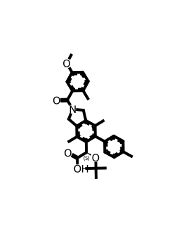 COc1ccc(C)c(C(=O)N2Cc3c(C)c(-c4ccc(C)cc4)c([C@H](OC(C)(C)C)C(=O)O)c(C)c3C2)c1